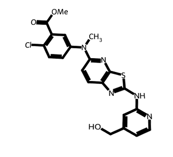 COC(=O)c1cc(N(C)c2ccc3nc(Nc4cc(CO)ccn4)sc3n2)ccc1Cl